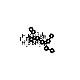 Bc1c(B)c(B)c2c(c1B)c1c(B)c(-c3ccc4c(c3)c3cc(-c5ccccc5)ccc3n4-c3cccc(-c4ccccc4)c3)c(B)c(B)c1n2-c1ccc2ccccc2c1